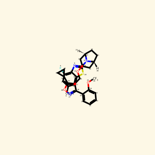 O=C(O)c1cc(F)c2nc(N3[C@@H]4CC[C@@H]3CC(OCc3c(-c5ccccc5OC(F)(F)F)noc3C3CC3)C4)sc2c1